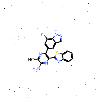 N#Cc1nc(-c2cc(Cl)c3[nH]ncc3c2)c(-c2nc3ccccc3s2)nc1N